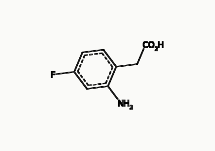 Nc1cc(F)ccc1CC(=O)O